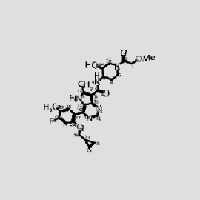 COCC(=O)N1CCC(NC(=O)c2c(C)[nH]c3c(-c4cc(C)c(F)cc4OCC4CC4)ncnc23)C(O)C1